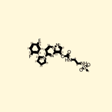 CS(=O)(=O)NCCNC(=O)Oc1cnn2ccc(N3CCC[C@@H]3c3cc(F)ccc3F)nc12